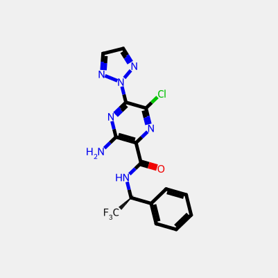 Nc1nc(-n2nccn2)c(Cl)nc1C(=O)N[C@@H](c1ccccc1)C(F)(F)F